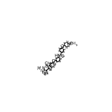 CCn1c(-c2nonc2N)nc2cnc(Oc3cccc(NC(=O)c4ccc(OC5CCN(C)CC5)cc4)c3)cc21